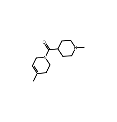 CC1=CCN(C(=O)C2CCN(C)CC2)CC1